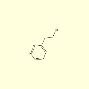 OCCc1cc[c]nn1